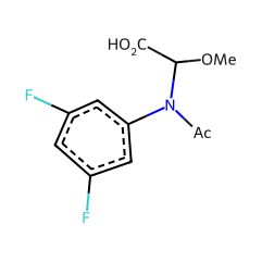 COC(C(=O)O)N(C(C)=O)c1cc(F)cc(F)c1